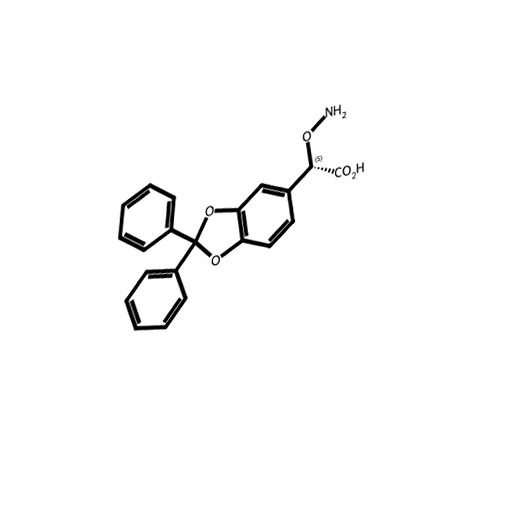 NO[C@H](C(=O)O)c1ccc2c(c1)OC(c1ccccc1)(c1ccccc1)O2